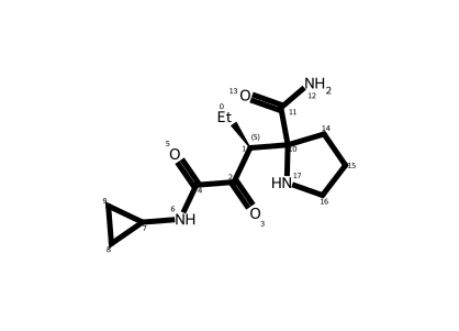 CC[C@H](C(=O)C(=O)NC1CC1)C1(C(N)=O)CCCN1